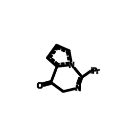 CC(C)C1=NCC(=O)c2cccn21